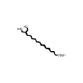 O=C(O)CCCCCCCCCCCCCC(CO)CO